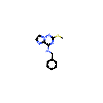 CSc1nc(NCc2ccccc2)c2nccn2n1